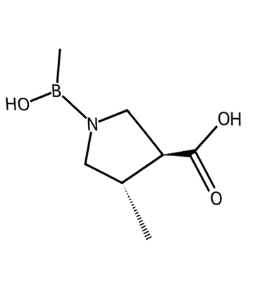 CB(O)N1C[C@@H](C)[C@H](C(=O)O)C1